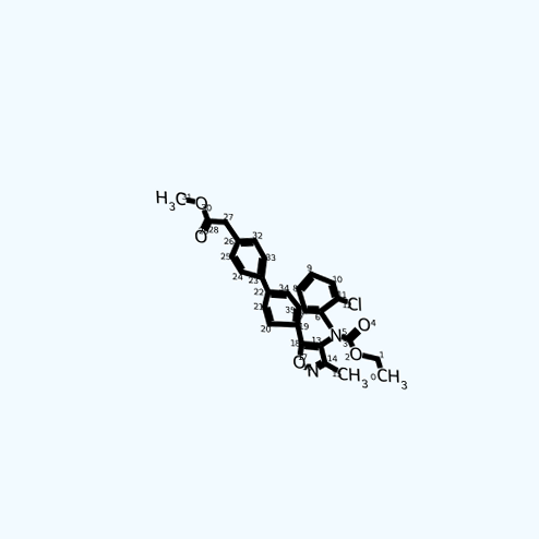 CCOC(=O)N(c1ccccc1Cl)c1c(C)noc1-c1ccc(-c2ccc(CC(=O)OC)cc2)cc1